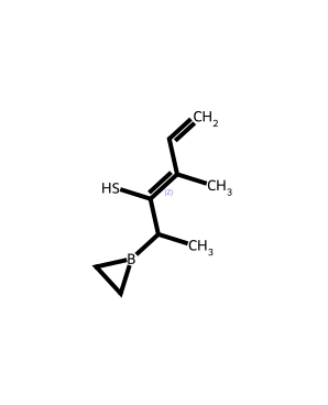 C=C/C(C)=C(\S)C(C)B1CC1